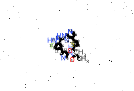 CCC(=O)Nc1cncc(-c2cc(F)c3[nH]nc(-c4nc5c(-c6ccc(C(C)=O)s6)ccnc5[nH]4)c3c2)c1